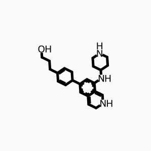 OCCCC1=CCC(c2cc(NC3CCNCC3)c3c(c2)=CCNC=3)C=C1